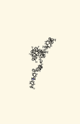 CC(=O)N[C@H]1[C@H](O[C@@H](OCCOCCn2cc(CNC(=O)c3ccc(/N=N/c4ccc(N(C)C)cc4)cc3)nn2)[C@@](C)(Br)C(=O)NCCNc2cccc3c(S(=O)(=O)O)cccc23)O[C@H](COC(C)=O)[C@@H](OC(C)=O)[C@@H]1OC(C)=O